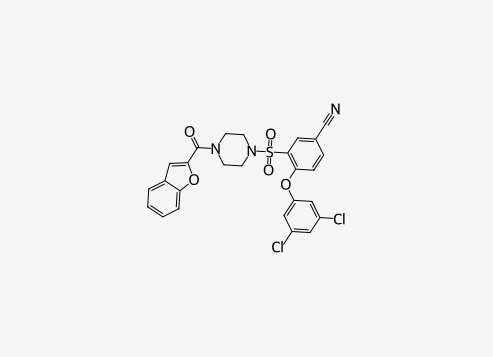 N#Cc1ccc(Oc2cc(Cl)cc(Cl)c2)c(S(=O)(=O)N2CCN(C(=O)c3cc4ccccc4o3)CC2)c1